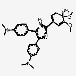 COC1=CC(c2nc(-c3ccc(N(C)C)cc3)c(-c3ccc(N(C)C)cc3)[nH]2)=CCC1(O)OC